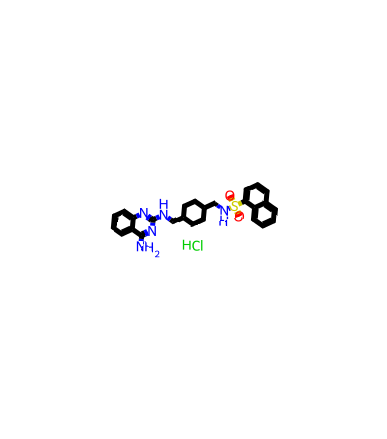 Cl.Nc1nc(NCC2CCC(CNS(=O)(=O)c3cccc4ccccc34)CC2)nc2ccccc12